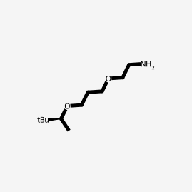 C[C@H](OCCCOCCN)C(C)(C)C